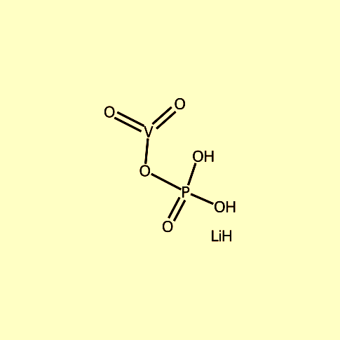 [LiH].[O]=[V](=[O])[O]P(=O)(O)O